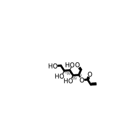 C=CC(=O)O[C@H](C=O)[C@@H](O)[C@@H](O)[C@H](O)CO